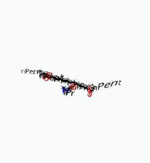 CCCCCC(CCCCC)CC(=O)OCCCCCCCCC(CCCCCCCCOC(=O)CC(CCCCC)CCCCC)OCCN(C)C(C)C